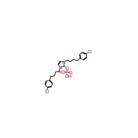 O=P(O)(O)OC1N(CCCCc2ccc(Cl)cc2)C=CN1CCCCc1ccc(Cl)cc1